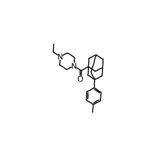 CCN1CCN(C(=O)C23CC4CC(C2)CC(c2ccc(C)cc2)(C4)C3)CC1